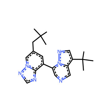 CC(C)(C)Cc1cc(-c2cncc3c(C(C)(C)C)cnn23)c2ncnn2c1